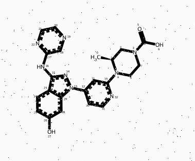 C[C@H]1CN(C(=O)O)CCN1c1cc(-n2nc(Nc3cnccn3)c3ccc(O)cc32)ccn1